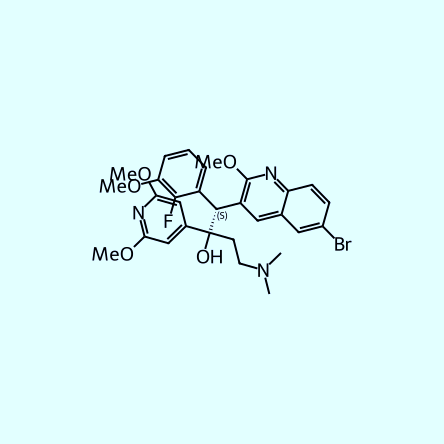 COc1cc(C(O)(CCN(C)C)[C@@H](c2cc3cc(Br)ccc3nc2OC)c2cccc(OC)c2F)cc(OC)n1